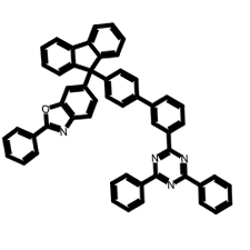 c1ccc(-c2nc(-c3ccccc3)nc(-c3cccc(-c4ccc(C5(c6ccc7nc(-c8ccccc8)oc7c6)c6ccccc6-c6ccccc65)cc4)c3)n2)cc1